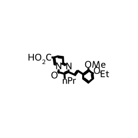 CCCc1c(C=Cc2cccc(OCC)c2OC)nc2ccc(C(=O)O)cn2c1=O